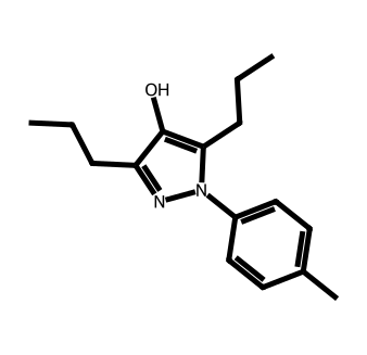 CCCc1nn(-c2ccc(C)cc2)c(CCC)c1O